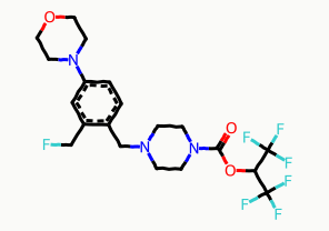 O=C(OC(C(F)(F)F)C(F)(F)F)N1CCN(Cc2ccc(N3CCOCC3)cc2CF)CC1